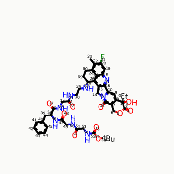 CC[C@@]1(O)C(=O)OCc2c1cc1n(c2=O)Cc2c-1nc1cc(F)c(C)c3c1c2[C@@H](NCCNC(=O)CNC(=O)[C@H](Cc1ccccc1)NC(=O)CNC(=O)CNC(=O)OC(C)(C)C)CC3